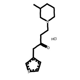 CC1CCCN(CCC(=O)Cc2ccsc2)C1.Cl